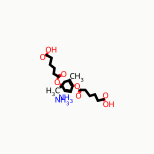 CC1=C(OC(=O)CCCCC(=O)O)C=CC(C)(OC(=O)CCCCC(=O)O)C1.N.N